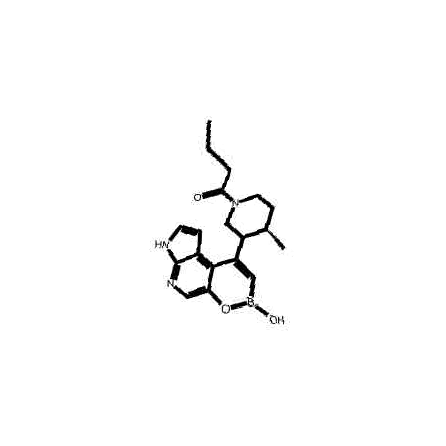 CCCC(=O)N1CC[C@@H](C)C(C2=CB(O)Oc3cnc4[nH]ccc4c32)C1